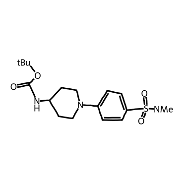 CNS(=O)(=O)c1ccc(N2CCC(NC(=O)OC(C)(C)C)CC2)cc1